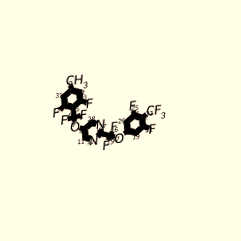 Cc1cc(F)c(C(F)(F)Oc2cnc(C(F)(F)Oc3cc(F)c(C(F)(F)F)c(F)c3)nc2)c(F)c1